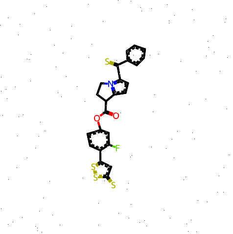 O=C(Oc1ccc(-c2cc(=S)ss2)c(F)c1)C1CCn2c(C(=S)c3ccccc3)ccc21